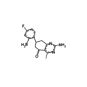 Bc1cc(F)ccc1C1CC(=O)c2c(C)nc(N)nc2C1